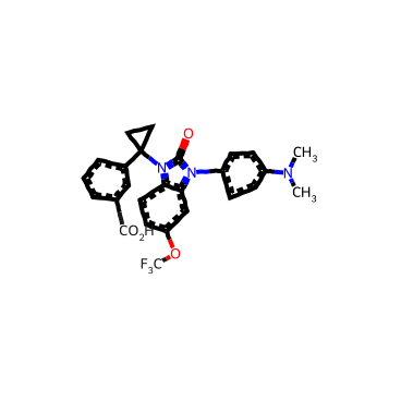 CN(C)c1ccc(-n2c(=O)n(C3(c4cccc(C(=O)O)c4)CC3)c3ccc(OC(F)(F)F)cc32)cc1